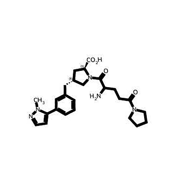 Cn1nccc1-c1cccc(C[C@@H]2C[C@@H](C(=O)O)N(C(=O)C(N)CCC(=O)N3CCCC3)C2)c1